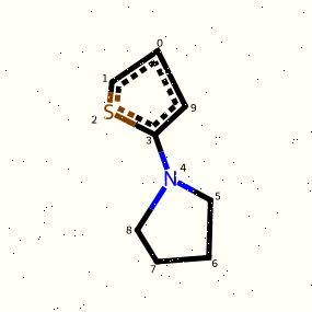 c1csc(N2CCCC2)c1